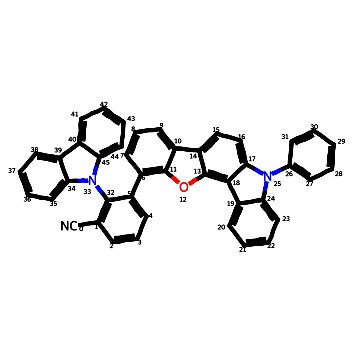 N#Cc1cccc(-c2cccc3c2oc2c3ccc3c2c2ccccc2n3-c2ccccc2)c1-n1c2ccccc2c2ccccc21